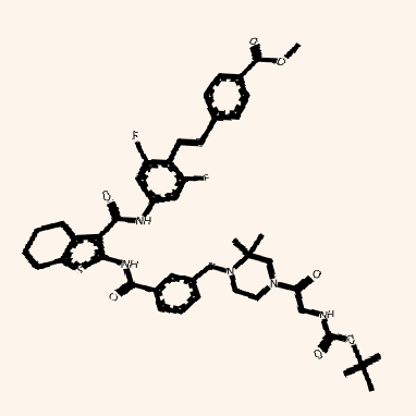 COC(=O)c1ccc(CCc2c(F)cc(NC(=O)c3c(NC(=O)c4cccc(CN5CCN(C(=O)CNC(=O)OC(C)(C)C)CC5(C)C)c4)sc4c3CCCC4)cc2F)cc1